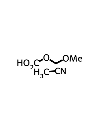 CC#N.COCOC(=O)O